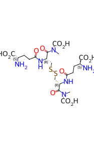 CN(C(=O)O)C(=O)[C@H](CSSC[C@H](NC(=O)CC[C@H](N)C(=O)O)C(=O)N(C)C(=O)O)NC(=O)CC[C@H](N)C(=O)O